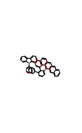 c1ccc(-c2ccccc2-c2c(-c3ccccc3)cccc2N(c2cccc(-c3ccc4c5ccccc5n(-c5ccccc5)c4c3)c2)c2ccc3ccccc3c2)cc1